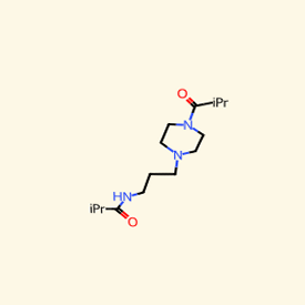 CC(C)C(=O)NCCCN1CCN(C(=O)C(C)C)CC1